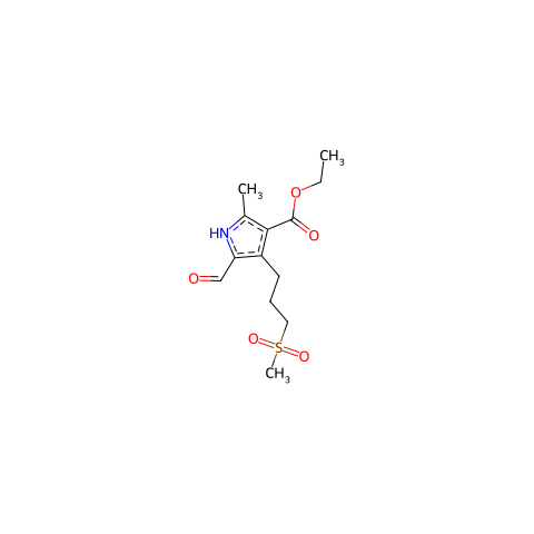 CCOC(=O)c1c(C)[nH]c(C=O)c1CCCS(C)(=O)=O